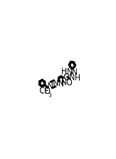 O=C(Nc1nc2ccccc2[nH]1)Oc1ccc(N2CCN(C(=O)c3ccccc3C(F)(F)F)CC2)nn1